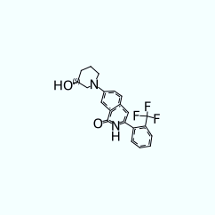 O=c1[nH]c(-c2ccccc2C(F)(F)F)cc2ccc(N3CCC[C@H](O)C3)cc12